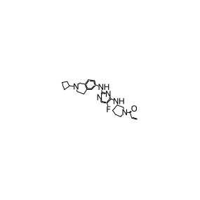 C=CC(=O)N1CCCC(Nc2nc(Nc3ccc4c(c3)CCN(C3CCC3)C4)ncc2F)C1